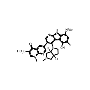 CNc1cc(F)c(C#N)c2c1[nH]c1ncc(-c3cnc4c(c3)c(=O)c(C(=O)O)cn4C)c(N3CC[C@@H]4CN(C)C[C@@H]43)c12